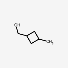 CC1CC(CO)C1